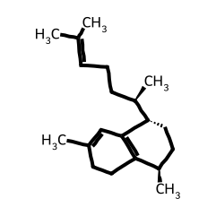 CC(C)=CCC[C@@H](C)[C@@H]1CC[C@@H](C)C2=C1C=C(C)CC2